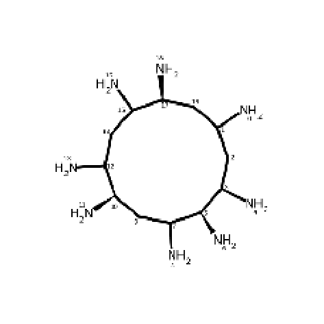 NC1CC(N)[C@@H](N)C(N)C[C@@H](N)C(N)CC(N)[C@@H](N)C1